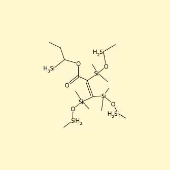 CCC([SiH3])OC(=O)C(=C([Si](C)(C)O[SiH2]C)[Si](C)(C)O[SiH2]C)[Si](C)(C)O[SiH2]C